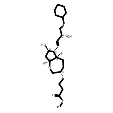 CC(C)OC(=O)CCC[C@H]1CC[C@@H]2[C@@H](/C=C/[C@@H](O)COC3CCCCC3)[C@H](O)C[C@@H]2OC1